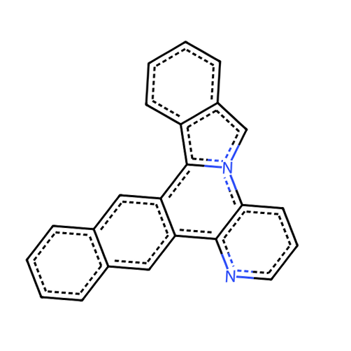 c1ccc2cc3c(cc2c1)c1ncccc1n1cc2ccccc2c31